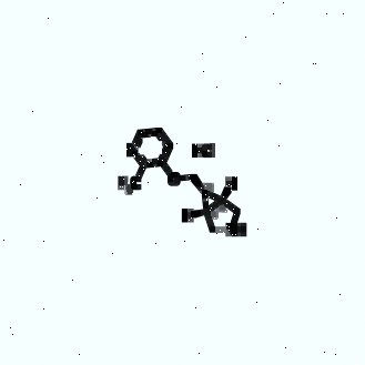 Cl.FC(F)(F)c1ncccc1OC[C@H]1[C@@H]2CNC[C@@H]21